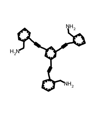 NCc1ccccc1C#Cc1cc(C#Cc2ccccc2CN)cc(C#Cc2ccccc2CN)c1